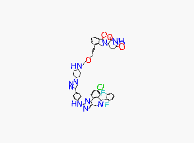 O=C1CCC(N2Cc3c(C#CCCOCCNC4CCC(n5cc(-c6ccc(Nc7ncc8c(n7)-c7ccc(Cl)cc7C(c7c(F)cccc7F)=NC8)cc6)nn5)CC4)cccc3C2=O)C(=O)N1